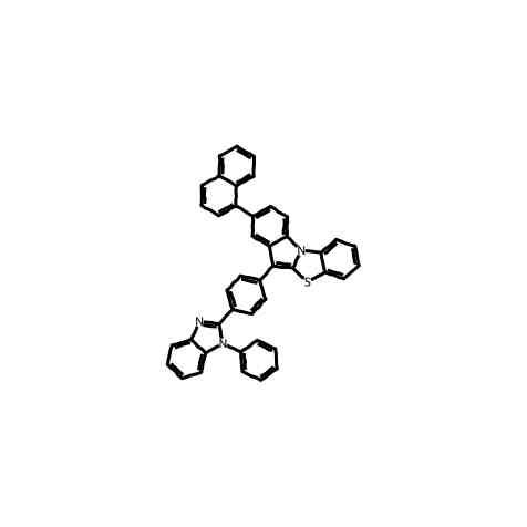 c1ccc(-n2c(-c3ccc(-c4c5cc(-c6cccc7ccccc67)ccc5n5c4sc4ccccc45)cc3)nc3ccccc32)cc1